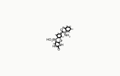 NN(C(=O)c1ccc(N(c2c[nH]c(=O)[nH]c2=O)S(=O)(=O)O)cc1)c1ccccc1F